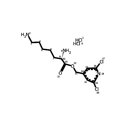 Cl.Cl.NCCCCC[C@H](N)C(=O)OCc1cc(Cl)nc(Cl)c1